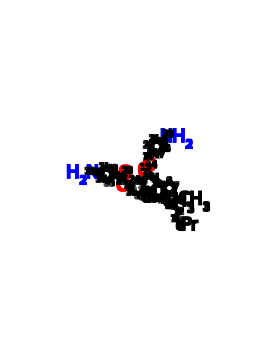 CC(C)CCCC(C)C1CCC2C3CC(OOCc4ccc(N)cc4)C4CC(OC(=O)c5ccc(N)cc5)CCC4(C)C3CCC12C